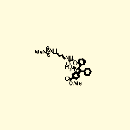 CNS(=O)(=O)NCCCCCNC(=O)COc1ccccc1-c1c(C2CCCCC2)c2ccc(C(=O)OC)cc2n1C